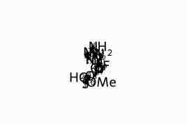 COP(O)(=S)OCC1CC(F)C(n2cnc3c(N)ncnc32)O1